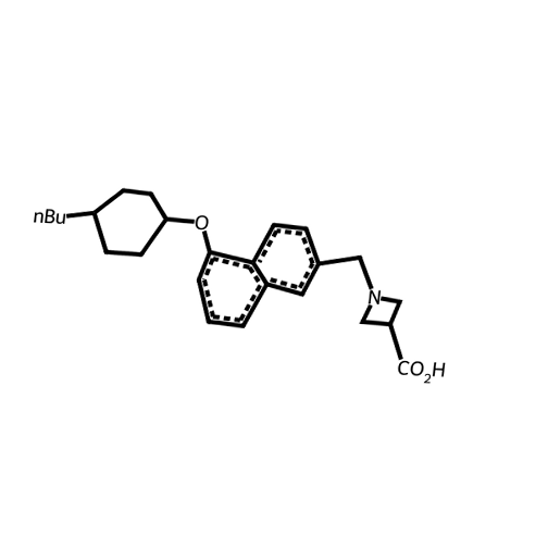 CCCCC1CCC(Oc2cccc3cc(CN4CC(C(=O)O)C4)ccc23)CC1